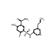 C=CCc1cncc(NS(=O)(=O)c2cc(C(N)=O)c(O)cc2F)c1